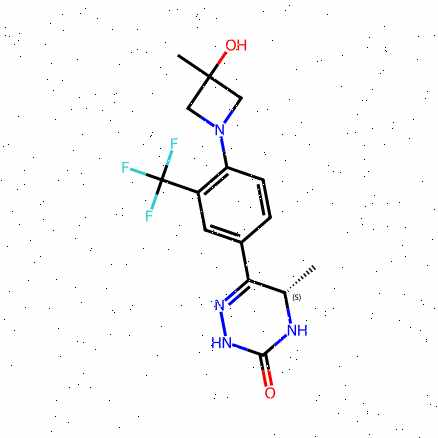 C[C@@H]1NC(=O)NN=C1c1ccc(N2CC(C)(O)C2)c(C(F)(F)F)c1